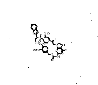 C=CC(c1nc2ccccc2s1)S(=O)(=O)N1CCN(C(=O)CN2CNc3c2nc(NC(=O)OCc2ccc(OC)c(OC)c2)[nH]c3=O)CC1C=O